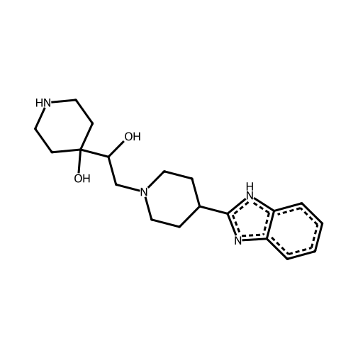 OC(CN1CCC(c2nc3ccccc3[nH]2)CC1)C1(O)CCNCC1